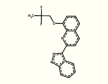 CC(F)(F)COc1cccc2ccc(-c3nnc4ccccn34)nc12